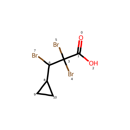 O=C(O)C(Br)(Br)C(Br)C1CC1